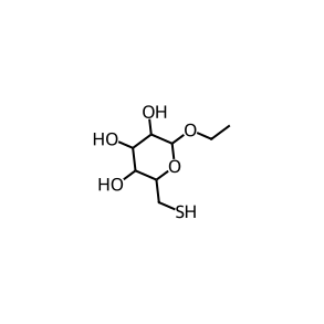 CCOC1OC(CS)C(O)C(O)C1O